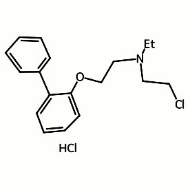 CCN(CCCl)CCOc1ccccc1-c1ccccc1.Cl